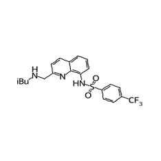 CCC(C)NCc1ccc2cccc(NS(=O)(=O)c3ccc(C(F)(F)F)cc3)c2n1